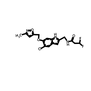 Cc1cc(COc2cc3[nH]c(CNC(=O)CC(F)F)cc3cc2Cl)on1